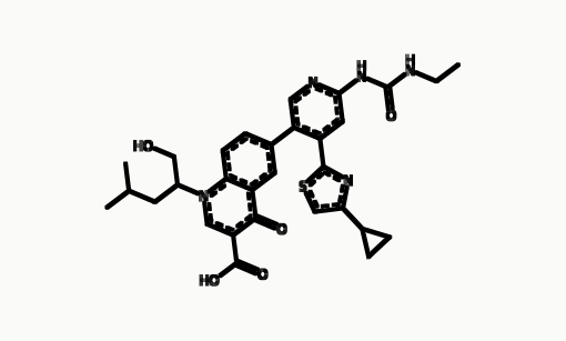 CCNC(=O)Nc1cc(-c2nc(C3CC3)cs2)c(-c2ccc3c(c2)c(=O)c(C(=O)O)cn3C(CO)CC(C)C)cn1